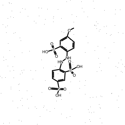 COc1ccc(NNc2ccc(S(=O)(=O)O)cc2S(=O)(=O)O)c(S(=O)(=O)O)c1